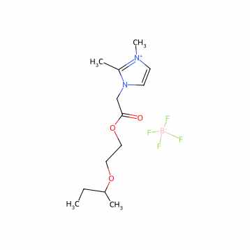 CCC(C)OCCOC(=O)Cn1cc[n+](C)c1C.F[B-](F)(F)F